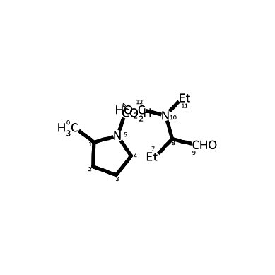 CC1CCCN1C(=O)O.CCC(C=O)N(CC)C(=O)O